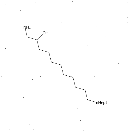 CCCCCCCCCCCCCCCCC(O)CN